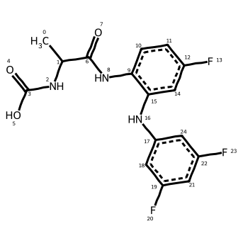 CC(NC(=O)O)C(=O)Nc1ccc(F)cc1Nc1cc(F)cc(F)c1